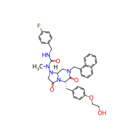 CN(C(=O)NCc1ccc(F)cc1)N1CC(=O)N2[C@@H](Cc3ccc(OCCO)cc3)C(=O)N(Cc3cccc4ccccc34)C[C@@H]21